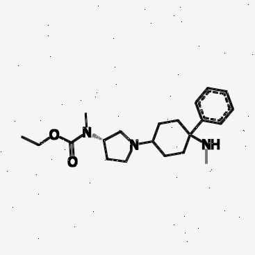 CCOC(=O)N(C)[C@H]1CCN(C2CCC(NC)(c3ccccc3)CC2)C1